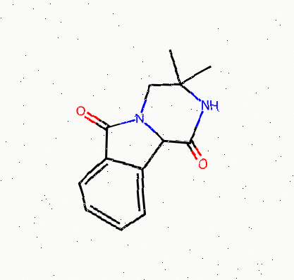 CC1(C)CN2C(=O)c3ccccc3C2C(=O)N1